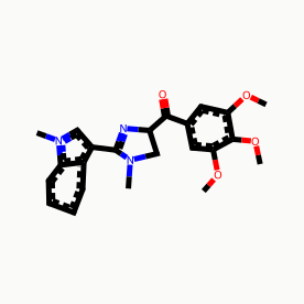 COc1cc(C(=O)C2CN(C)C(c3cn(C)c4ccccc34)=N2)cc(OC)c1OC